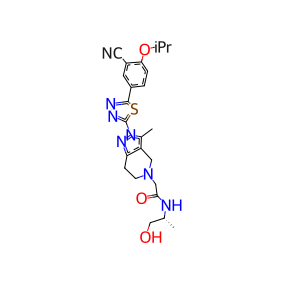 Cc1c2c(nn1-c1nnc(-c3ccc(OC(C)C)c(C#N)c3)s1)CCN(CC(=O)N[C@H](C)CO)C2